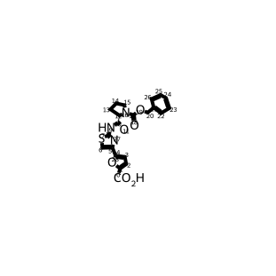 O=C(O)c1ccc(-c2csc(NC(=O)[C@@H]3CCCN3C(=O)OCc3ccccc3)n2)o1